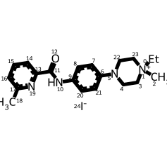 CC[N+]1(C)CCN(c2ccc(NC(=O)c3cccc(C)n3)cc2)CC1.[I-]